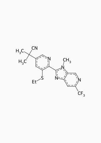 CCSc1cc(C(C)(C)C#N)cnc1-c1nc2cc(C(F)(F)F)ncc2n1C